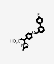 Cc1csc(C(CC(=O)O)c2ccc(OCc3cccc(-c4ccc(F)cc4)c3)cc2)n1